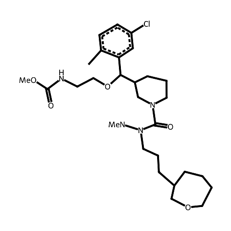 CNN(CCCC1CCCCOC1)C(=O)N1CCCC(C(OCCNC(=O)OC)c2cc(Cl)ccc2C)C1